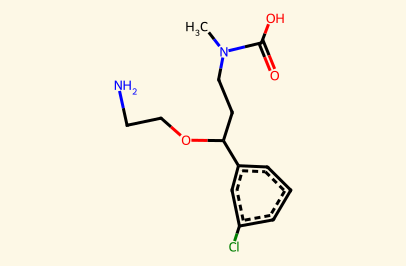 CN(CCC(OCCN)c1cccc(Cl)c1)C(=O)O